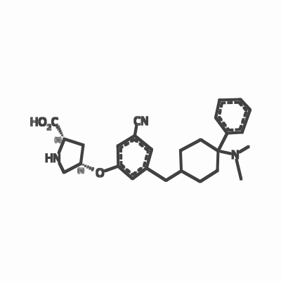 CN(C)C1(c2ccccc2)CCC(Cc2cc(C#N)cc(O[C@@H]3CN[C@H](C(=O)O)C3)c2)CC1